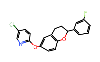 Fc1cccc(C2CCc3cc(Oc4ccc(Cl)cn4)ccc3O2)c1